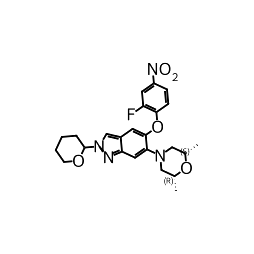 C[C@@H]1CN(c2cc3nn(C4CCCCO4)cc3cc2Oc2ccc([N+](=O)[O-])cc2F)C[C@H](C)O1